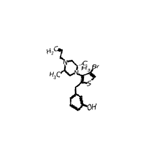 C=CCN1C[C@H](C)N(c2c(Br)csc2Cc2cccc(O)c2)C[C@H]1C